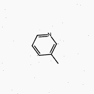 Cc1[c]ccn[c]1